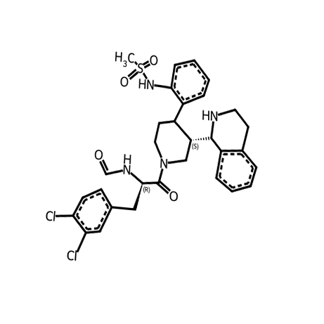 CS(=O)(=O)Nc1ccccc1C1CCN(C(=O)[C@@H](Cc2ccc(Cl)c(Cl)c2)NC=O)C[C@H]1C1NCCc2ccccc21